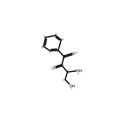 O=C(C(=O)C(O)CO)c1ccccc1